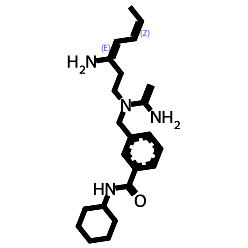 C=C(N)N(CC/C(N)=C\C=C/C)Cc1cccc(C(=O)NC2CCCCC2)c1